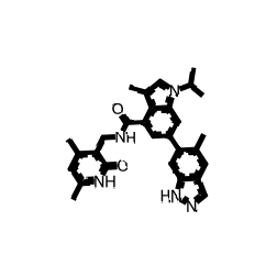 Cc1cc(C)c(CNC(=O)c2cc(-c3cc4[nH]ncc4cc3C)cc3c2c(C)cn3C(C)C)c(=O)[nH]1